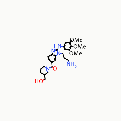 COc1cc(Nc2nc3ccc(C(=O)N4CCCC(CO)C4)cc3n2CCCN)cc(OC)c1OC